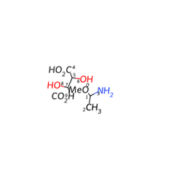 COC(C)N.O=C(O)C(O)C(O)C(=O)O